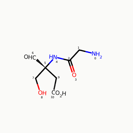 NCC(=O)N[C@@](C=O)(CO)CC(=O)O